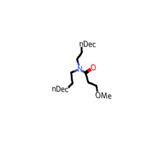 CCCCCCCCCCCCN(CCCCCCCCCCCC)C(=O)CCOC